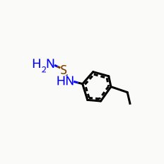 CCc1ccc(NSN)cc1